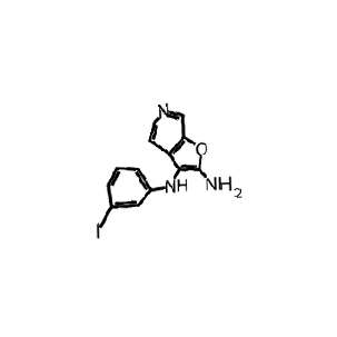 Nc1oc2cnccc2c1Nc1cccc(I)c1